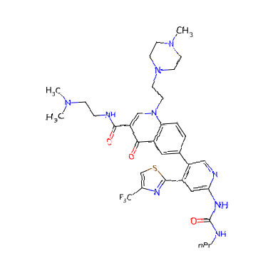 CCCNC(=O)Nc1cc(-c2nc(C(F)(F)F)cs2)c(-c2ccc3c(c2)c(=O)c(C(=O)NCCN(C)C)cn3CCN2CCN(C)CC2)cn1